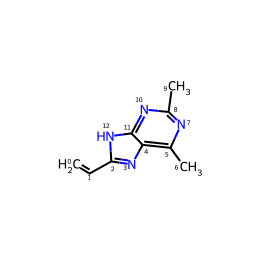 C=Cc1nc2c(C)nc(C)nc2[nH]1